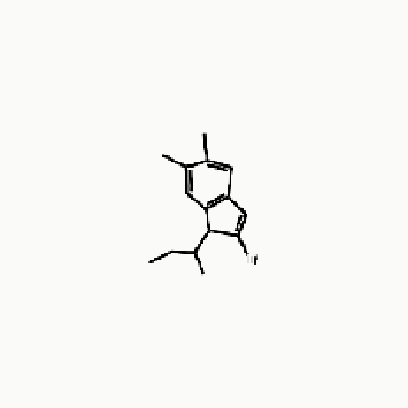 CCC(C)C1[C]([Hf])=Cc2cc(C)c(C)cc21